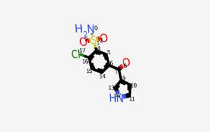 NS(=O)(=O)c1cc(C(=O)c2cc[nH]c2)ccc1Cl